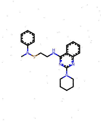 CN(SCCNc1nc(N2CCCCC2)nc2ccccc12)c1ccccc1